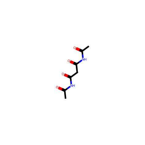 CC(=O)NC(=O)[CH]C(=O)NC(C)=O